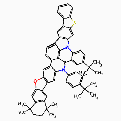 CC(C)(C)c1ccc(N2B3c4cc(C(C)(C)C)ccc4-n4c5cc6sc7ccccc7c6cc5c5ccc(c3c54)-c3cc4oc5cc6c(cc5c4cc32)C(C)(C)CCC6(C)C)cc1